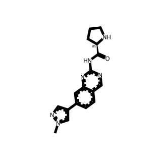 Cn1cc(-c2ccc3cnc(NC(=O)[C@H]4CCCN4)nc3c2)cn1